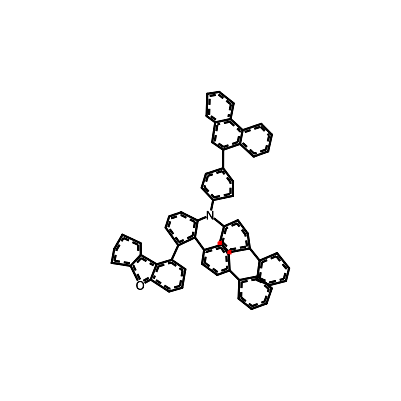 c1ccc(-c2ccc(-c3c(-c4cccc5oc6ccccc6c45)cccc3N(c3ccc(-c4ccccc4)cc3)c3ccc(-c4cc5ccccc5c5ccccc45)cc3)cc2)cc1